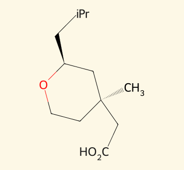 CC(C)C[C@H]1C[C@@](C)(CC(=O)O)CCO1